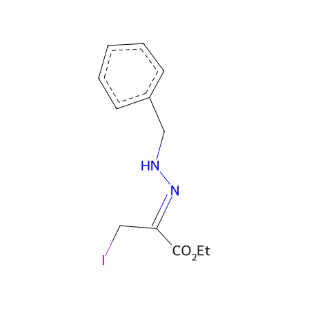 CCOC(=O)/C(CI)=N/NCc1ccccc1